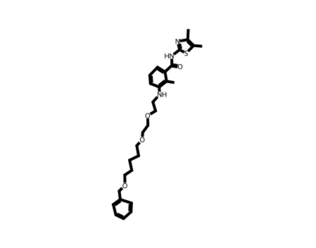 Cc1nc(NC(=O)c2cccc(NCCOCCOCCCCCOCc3ccccc3)c2C)sc1C